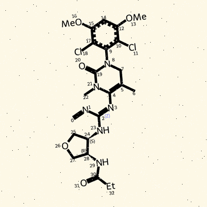 C=N/C(=N\C1=C(C)CN(c2c(Cl)c(OC)cc(OC)c2Cl)C(=O)N1C)N[C@@H]1COC[C@@H]1NC(=O)CC